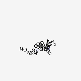 Nc1nc(/C(=N/OC2CCCC2)C(=O)N[C@@H]2C(=O)N3C(C(=O)[O-])=C(/C=C4\CCN(Cc5cc[n+](CCO)cc5)C4=O)CS[C@H]23)cs1